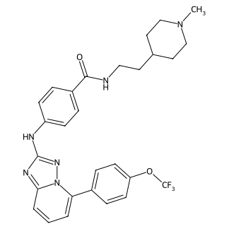 CN1CCC(CCNC(=O)c2ccc(Nc3nc4cccc(-c5ccc(OC(F)(F)F)cc5)n4n3)cc2)CC1